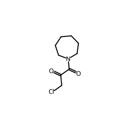 O=C(CCl)C(=O)N1CCCCCC1